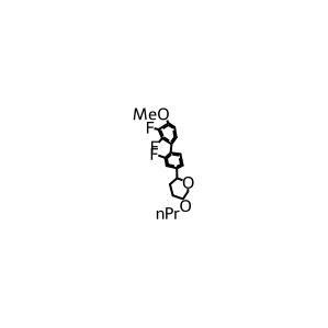 CCCOC1CCC(c2ccc(-c3ccc(OC)c(F)c3F)c(F)c2)OC1